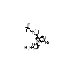 CC(F)(F)CCN1CCCC(c2cn(-c3nc(N)ncc3F)c3cc(Br)ncc23)C1